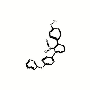 COc1ccc(C2=C([N+](=O)[O-])C(c3ccc(Oc4ccccc4)cc3)=CC[CH]2)cc1